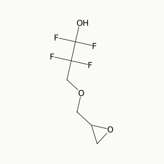 OC(F)(F)C(F)(F)COCC1CO1